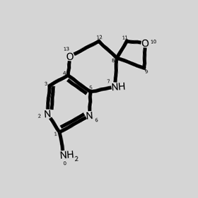 Nc1ncc2c(n1)NC1(COC1)CO2